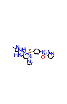 Cc1cc(Nc2cc(N3CCC3)nc(Sc3ccc(NC(=O)c4cccnc4C)cc3)n2)[nH]n1